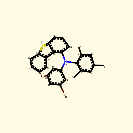 Cc1cc(C)c(N(c2cc(Br)cc(Br)c2)c2cccc3sc4ccccc4c23)c(C)c1